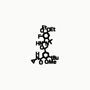 CCOc1cc2c(c(F)c1OCC)C(=N)N(CC(=O)c1cc(C(=O)NC3CC3)c(OC)c(C(C)(C)C)c1)C2(C)C